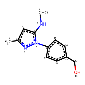 O=CNc1cc(C(F)(F)F)nn1-c1ccc(CO)cc1